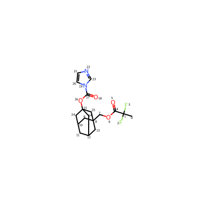 CC(F)(F)C(=O)OCC12CC3CC(C1)CC(OC(=O)n1ccnc1)(C3)C2